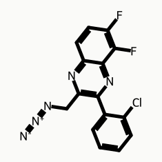 [N-]=[N+]=NCc1nc2ccc(F)c(F)c2nc1-c1ccccc1Cl